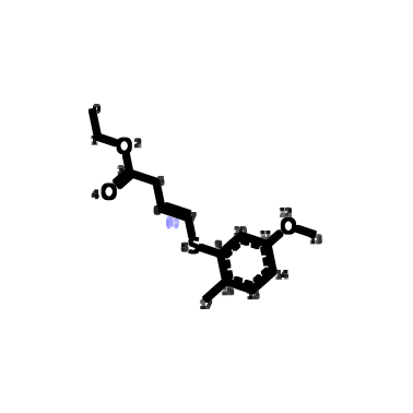 CCOC(=O)C/C=C/Sc1cc(OC)ccc1C